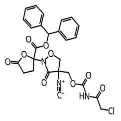 [C-]#[N+]C1(COC(=O)NC(=O)CCl)CON(C2(C(=O)OC(c3ccccc3)c3ccccc3)CCC(=O)O2)C1=O